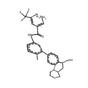 Cc1ccc(NC(=O)C(/C=C(\N)C(F)(F)F)=C/N)cc1-c1ccc2c(c1)N1CCOCC1CC2O